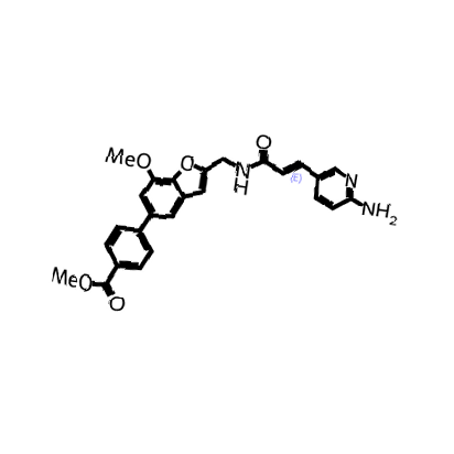 COC(=O)c1ccc(-c2cc(OC)c3oc(CNC(=O)/C=C/c4ccc(N)nc4)cc3c2)cc1